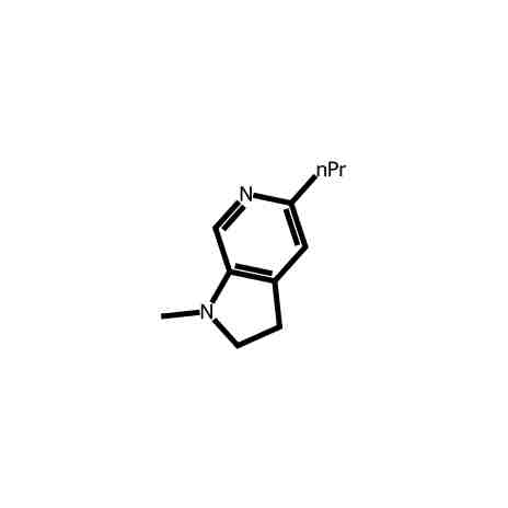 CCCc1cc2c(cn1)N(C)CC2